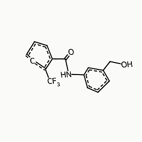 O=C(Nc1cccc(CO)c1)c1ccccc1C(F)(F)F